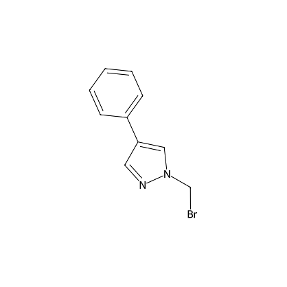 BrCn1cc(-c2ccccc2)cn1